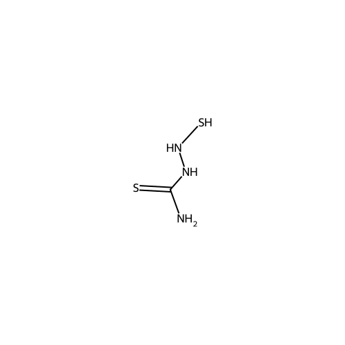 NC(=S)NNS